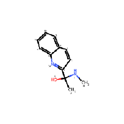 CNC(C)(O)c1ccc2ccccc2n1